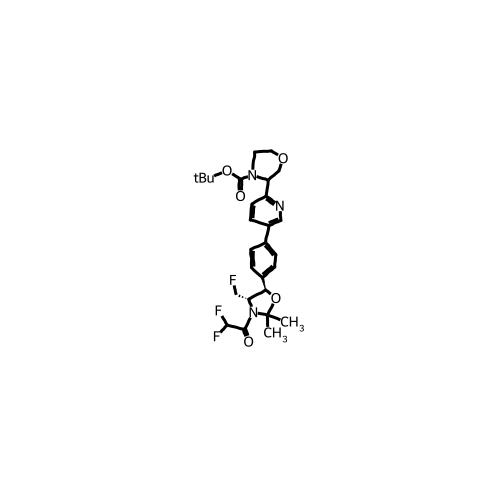 CC(C)(C)OC(=O)N1CCOCC1c1ccc(-c2ccc([C@H]3OC(C)(C)N(C(=O)C(F)F)[C@@H]3CF)cc2)cn1